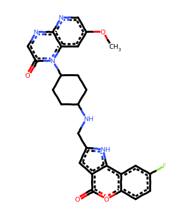 COc1cnc2ncc(=O)n(C3CCC(NCc4cc5c(=O)oc6ccc(F)cc6c5[nH]4)CC3)c2c1